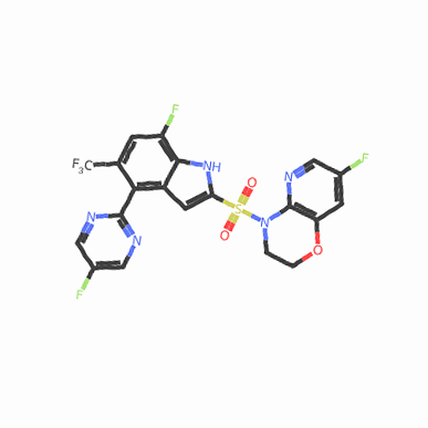 O=S(=O)(c1cc2c(-c3ncc(F)cn3)c(C(F)(F)F)cc(F)c2[nH]1)N1CCOc2cc(F)cnc21